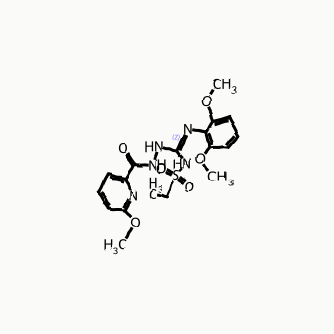 CCS(=O)(=O)N/C(=N\c1c(OC)cccc1OC)NNC(=O)c1cccc(OC)n1